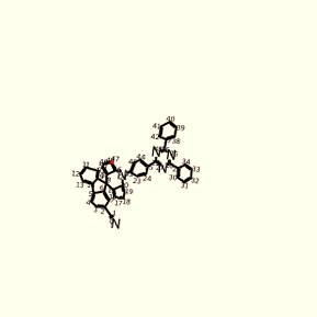 N#Cc1ccc2c(c1)C1(c3ccccc3-2)c2ccccc2N(c2ccc(-c3nc(-c4ccccc4)nc(-c4ccccc4)n3)cc2)c2ccccc21